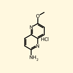 COc1ccc2nc(N)ccc2n1.Cl